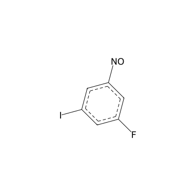 O=Nc1cc(F)cc(I)c1